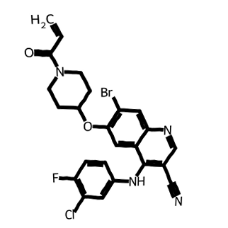 C=CC(=O)N1CCC(Oc2cc3c(Nc4ccc(F)c(Cl)c4)c(C#N)cnc3cc2Br)CC1